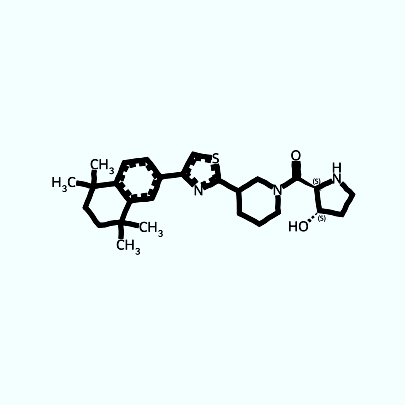 CC1(C)CCC(C)(C)c2cc(-c3csc(C4CCCN(C(=O)[C@H]5NCC[C@@H]5O)C4)n3)ccc21